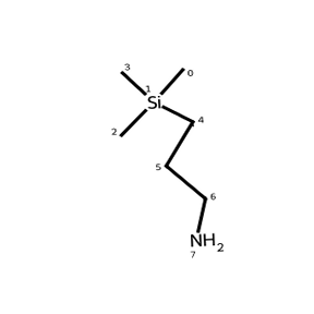 C[Si](C)(C)[CH]CCN